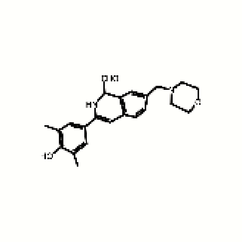 Cc1cc(C2=Cc3ccc(CN4CCOCC4)cc3C(C=O)N2)cc(C)c1O